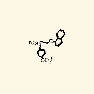 CC(=O)N(CCOc1cccc2ccccc12)c1ccc(C(=O)O)cc1